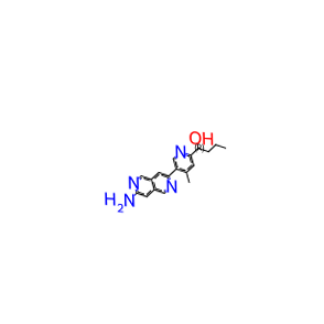 CCC[C@@H](O)c1cc(C)c(-c2cc3cnc(N)cc3cn2)cn1